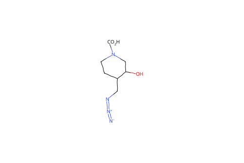 [N-]=[N+]=NCC1CCN(C(=O)O)CC1O